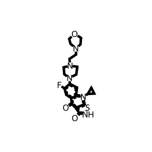 O=c1[nH]sc2c1c(=O)c1cc(F)c(N3CCN(CCN4CCOCC4)CC3)cc1n2C1CC1